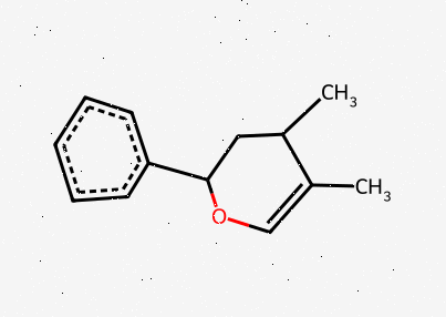 CC1=COC(c2ccccc2)CC1C